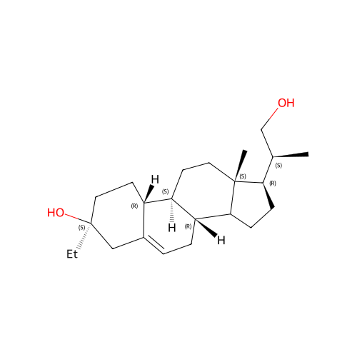 CC[C@]1(O)CC[C@H]2C(=CC[C@H]3C4CC[C@H]([C@H](C)CO)[C@@]4(C)CC[C@H]23)C1